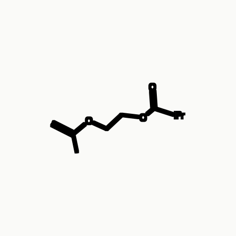 C=C(C)OCCOC(=O)C(C)C